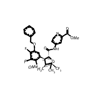 COC(=O)c1cc(NC(=O)[C@@H]2O[C@@](C)(C(F)(F)F)[C@@H](C)[C@H]2c2cc(OCc3ccccc3)c(F)c(F)c2OC)ccn1